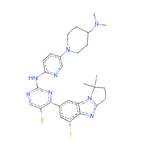 CN(C)C1CCN(c2ccc(Nc3ncc(F)c(-c4cc(F)c5nc6n(c5c4)C(C)(C)CC6)n3)nc2)CC1